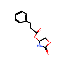 O=C(CCc1ccccc1)O[C@H]1COC(=O)N1